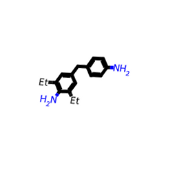 CCc1cc(Cc2ccc(N)cc2)cc(CC)c1N